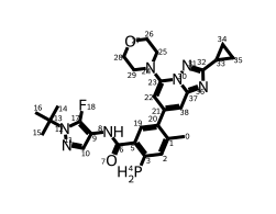 Cc1cc(P)c(C(=O)Nc2cnn(C(C)(C)C)c2F)cc1-c1cc(N2CCOCC2)n2nc(C3CC3)nc2c1